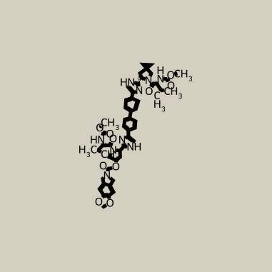 COC(=O)N[C@H](C(=O)N1CC(OC(=O)N2Cc3cc4c(cc3C2)OCO4)CC1c1nc(-c2ccc(-c3ccc(-c4c[nH]c([C@@H]5CC6(CC6)CN5C(=O)[C@@H](NC(=O)OC)C(C)C)n4)cc3)cc2)c[nH]1)C(C)C